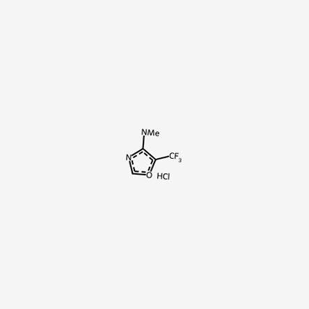 CNc1ncoc1C(F)(F)F.Cl